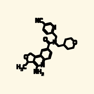 CC1OCc2c1c(N)nc1ccc(C(=O)N(Cc3ccc(C#N)cn3)CC3CCOCC3)cc21